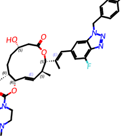 COc1ccc(Cn2nnc3c(F)cc(/C=C(\C)[C@H]4OC(=O)C[C@@H](O)CC[C@@H](C)[C@@H](OC(=O)N5CCN(C)CC5)/C=C/[C@@H]4C)cc32)cc1